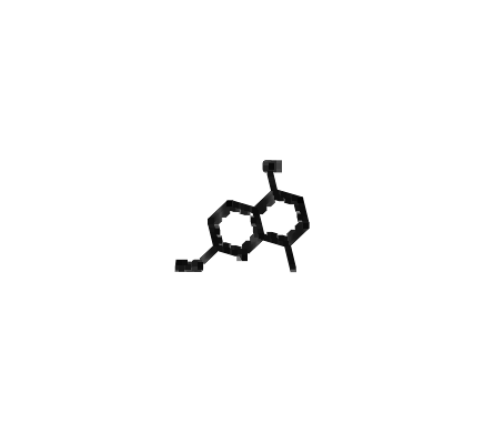 COc1ccc2c(O)ccc(C)c2n1